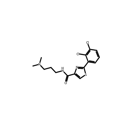 CN(C)CCCNC(=O)c1csc(-c2cccc(Cl)c2Cl)n1